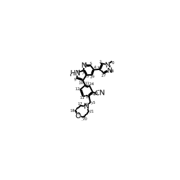 Cn1cc(-c2cnc3[nH]cc(-c4ccc(CN5CCOCC5)c(C#N)c4)c3c2)cn1